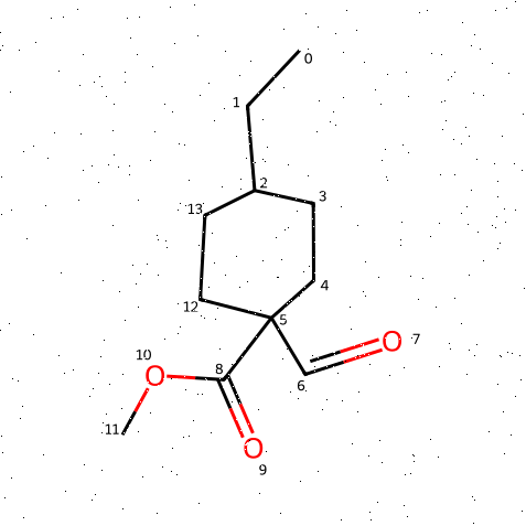 CCC1CCC(C=O)(C(=O)OC)CC1